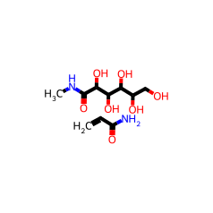 C=CC(N)=O.CNC(=O)C(O)C(O)C(O)C(O)CO